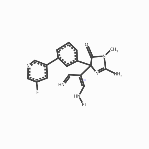 CCN/C=C(\C=N)C1(c2cccc(-c3cncc(F)c3)c2)N=C(N)N(C)C1=O